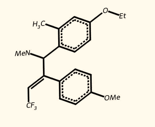 CCOc1ccc(C(NC)/C(=C/C(F)(F)F)c2ccc(OC)cc2)c(C)c1